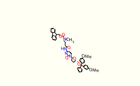 COc1ccc(C(OC[C@@H]2CC[C@H](n3ccc(NC(=O)CCCN(C)C(=O)OCC4c5ccccc5-c5ccccc54)nc3=O)O2)(c2ccccc2)c2ccc(OC)cc2)cc1